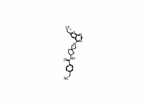 N#CCc1ccc(C(=O)NC2CCC3(C2)CN(c2ncnc4sc(CC(F)(F)F)cc24)C3)cc1